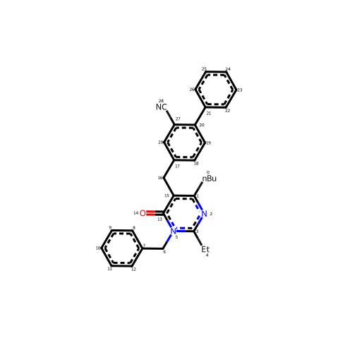 CCCCc1nc(CC)n(Cc2ccccc2)c(=O)c1Cc1ccc(-c2ccccc2)c(C#N)c1